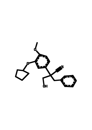 COc1ccc(C(C#N)(CO)Cc2ccccc2)cc1OC1CCCC1